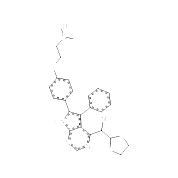 CN(C)CCOc1ccc(-c2[nH]c3ncnc(C(N)C4SCCS4)c3c2-c2ccccc2)cc1